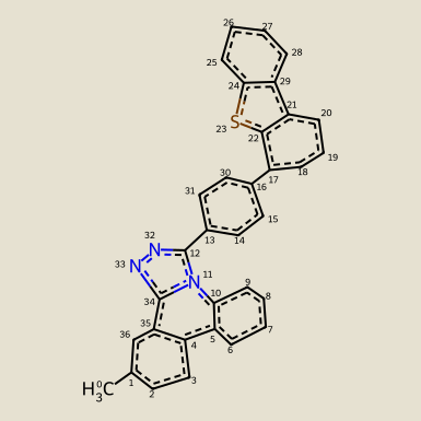 Cc1ccc2c3ccccc3n3c(-c4ccc(-c5cccc6c5sc5ccccc56)cc4)nnc3c2c1